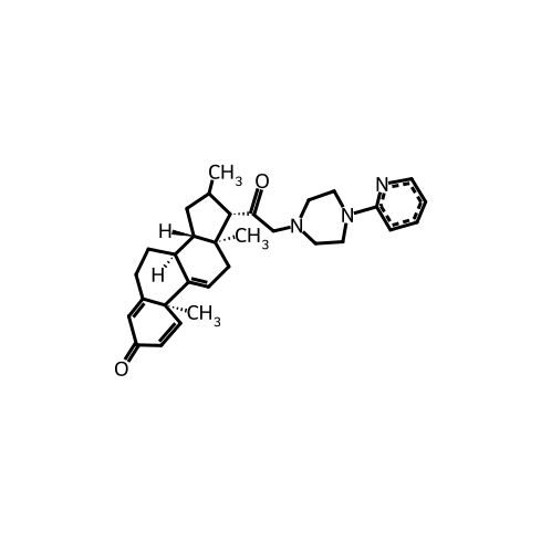 CC1C[C@H]2[C@@H]3CCC4=CC(=O)C=C[C@]4(C)C3=CC[C@]2(C)[C@H]1C(=O)CN1CCN(c2ccccn2)CC1